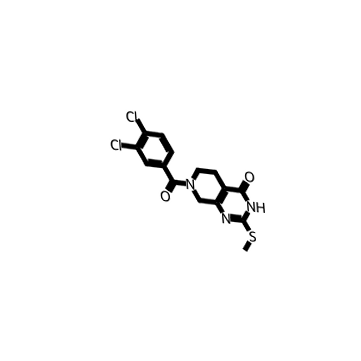 CSc1nc2c(c(=O)[nH]1)CCN(C(=O)c1ccc(Cl)c(Cl)c1)C2